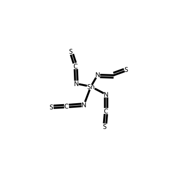 S=C=[N][Sn]([N]=C=S)([N]=C=S)[N]=C=S